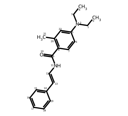 CCN(CC)c1ccc(C(=O)NC=Cc2ccccc2)c(C)c1